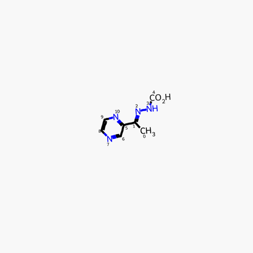 CC(=NNC(=O)O)c1cnccn1